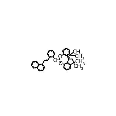 CC1(C)CC23CC(C)(C)c4cccc(c42)OP(Oc2ccccc2/C=C/c2cccc4ccccc24)Oc2cccc1c23